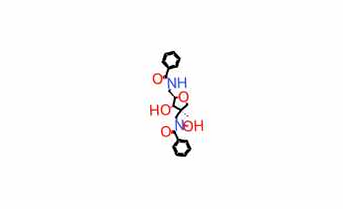 C[C@@]1(CN(O)C(=O)c2ccccc2)CO[C@H](CNC(=O)c2ccccc2)[C@H]1O